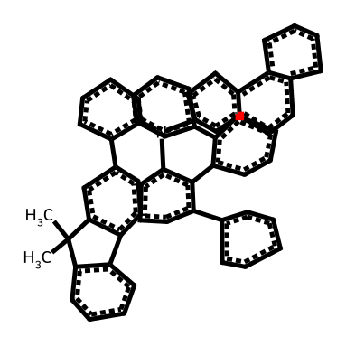 CC1(C)c2ccccc2-c2ccc(-c3ccccc3N(c3ccc4c(ccc5ccccc54)c3)c3cccc(-c4ccccc4)c3-c3ccccc3-c3ccccc3)cc21